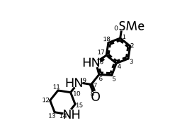 CSc1ccc2cc(C(=O)NC3CCCNC3)[nH]c2c1